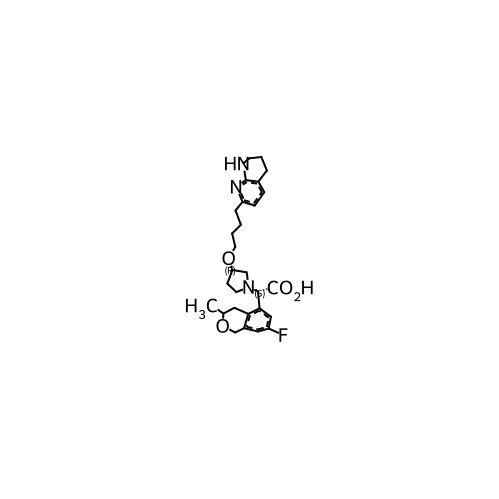 CC1Cc2c(cc(F)cc2[C@@H](C(=O)O)N2CC[C@@H](OCCCCc3ccc4c(n3)NCCC4)C2)CO1